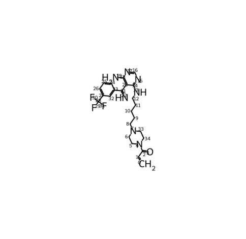 C=CC(=O)N1CCN(CCCCCNc2ncnc(N)c2C(=N)c2cccc(C(F)(F)F)c2)CC1